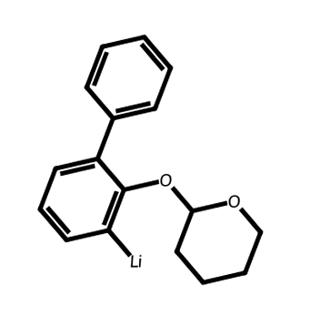 [Li][c]1cccc(-c2ccccc2)c1OC1CCCCO1